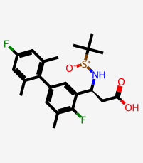 Cc1cc(-c2c(C)cc(F)cc2C)cc([C@H](CC(=O)O)N[S+]([O-])C(C)(C)C)c1F